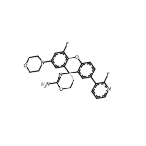 NC1=N[C@]2(CCO1)c1cc(-c3cccnc3F)ccc1Oc1c(F)cc(N3CCOCC3)cc12